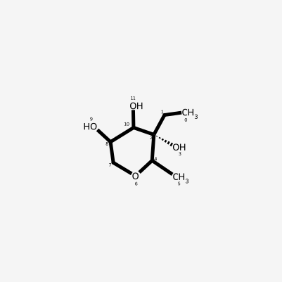 CC[C@@]1(O)C(C)OCC(O)C1O